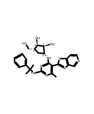 Cc1nc(NC(C)(C)c2ccccc2)nc(N[C@@H]2C[C@H](CO)[C@@H](O)[C@H]2O)c1-c1nc2cnccc2s1